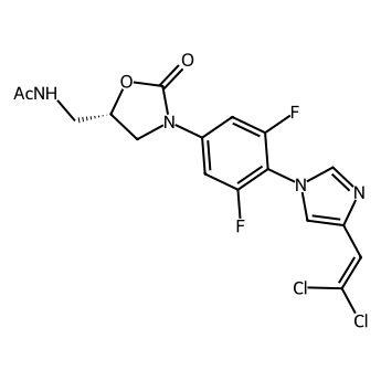 CC(=O)NC[C@H]1CN(c2cc(F)c(-n3cnc(C=C(Cl)Cl)c3)c(F)c2)C(=O)O1